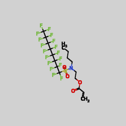 C=CC(=O)OCCN(CCCC)S(=O)(=O)C(F)(F)C(F)(F)C(F)(F)C(F)(F)C(F)(F)C(F)(F)C(F)(F)C(F)(F)F